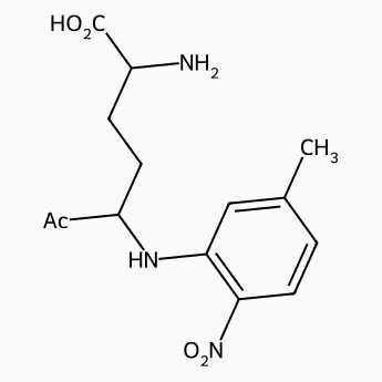 CC(=O)C(CCC(N)C(=O)O)Nc1cc(C)ccc1[N+](=O)[O-]